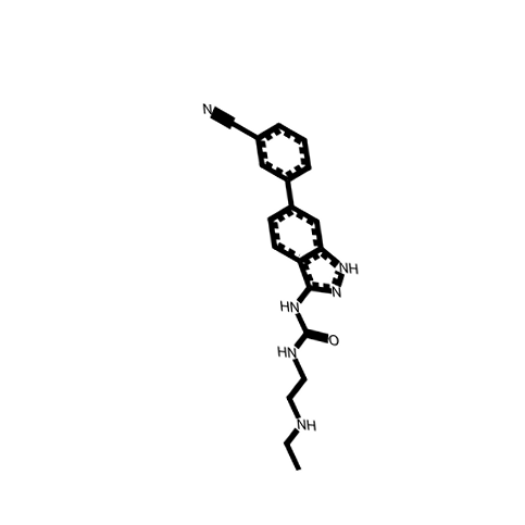 CCNCCNC(=O)Nc1n[nH]c2cc(-c3cccc(C#N)c3)ccc12